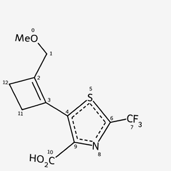 COCC1=C(c2sc(C(F)(F)F)nc2C(=O)O)CC1